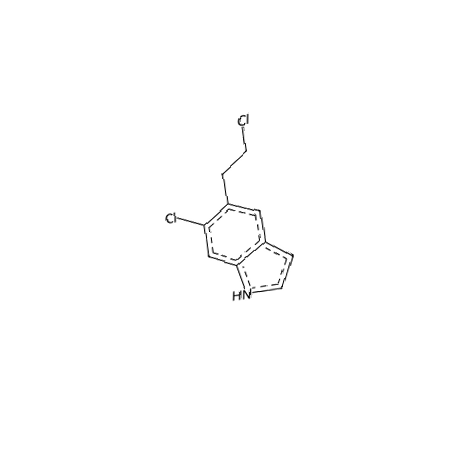 ClCCc1cc2cc[nH]c2cc1Cl